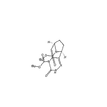 CC(C)(C)OC(=O)N1C(=O)NN=C2C1=C[C@H]1CC[C@@H]2N1C(=O)OC(C)(C)C